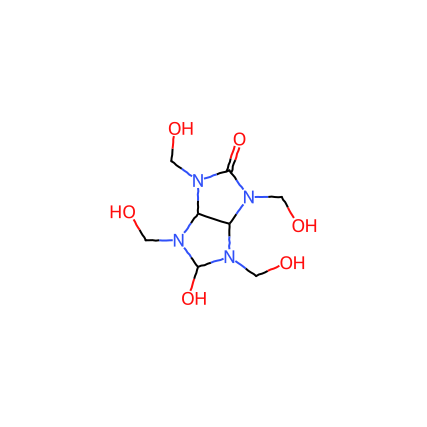 O=C1N(CO)C2C(N1CO)N(CO)C(O)N2CO